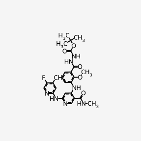 CNC(=O)c1cnc(Nc2cc(C)c(F)cn2)cc1Nc1cccc(C(=O)NNC(=O)OC(C)(C)C)c1OC